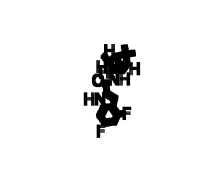 C[C@@H]1[C@H]2C[C@@H](C[C@H]1NC(=O)c1cc3c(F)cc(F)cc3[nH]1)C2(C)C